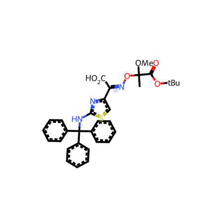 COC(C)(O/N=C(\C(=O)O)c1csc(NC(c2ccccc2)(c2ccccc2)c2ccccc2)n1)C(=O)OC(C)(C)C